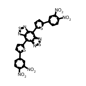 O=[N+]([O-])c1ccc(-c2ccc(-c3c4c(c(-c5ccc(-c6ccc([N+](=O)[O-])c([N+](=O)[O-])c6)s5)c5nsnc35)N=S=N4)s2)cc1[N+](=O)[O-]